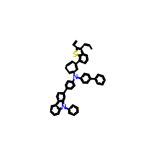 C=Cc1sc2c(C3=CC(N(c4ccc(-c5ccccc5)cc4)c4ccc(-c5ccc6c7ccccc7n(-c7ccccc7)c6c5)cc4)=CCC=C3)cccc2c1/C=C\C